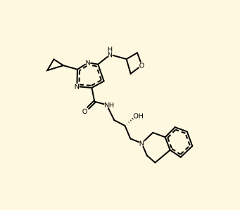 O=C(NC[C@H](O)CN1CCc2ccccc2C1)c1cc(NC2COC2)nc(C2CC2)n1